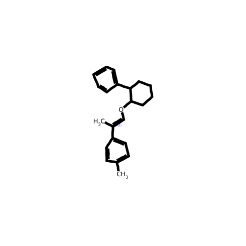 C/C(=C\OC1CCCCC1c1ccccc1)c1ccc(C)cc1